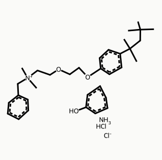 CC(C)(C)CC(C)(C)c1ccc(OCCOCC[N+](C)(C)Cc2ccccc2)cc1.Cl.N.Oc1ccccc1.[Cl-]